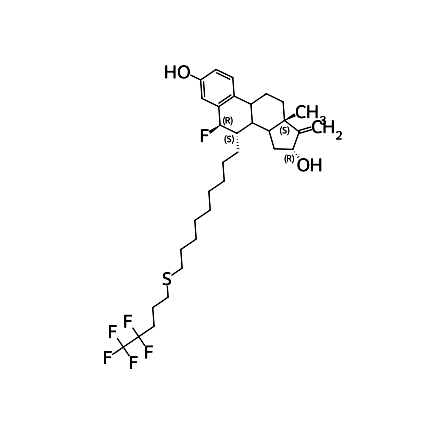 C=C1[C@H](O)CC2C3C(CC[C@]12C)c1ccc(O)cc1[C@H](F)[C@H]3CCCCCCCCCSCCCC(F)(F)C(F)(F)F